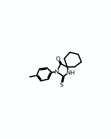 Cc1ccc(N2C(=O)C3(CCCCC3)NC2=S)cc1